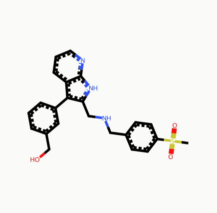 CS(=O)(=O)c1ccc(CNCc2[nH]c3ncccc3c2-c2cccc(CO)c2)cc1